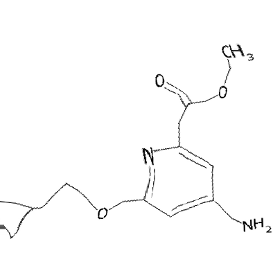 COC(=O)c1cc(N)cc(OCC2CC2)n1